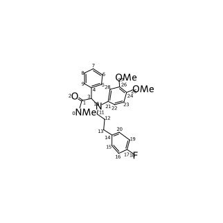 CNC(=O)C(c1ccccc1)N(CCCc1ccc(F)cc1)c1ccc(OC)c(OC)c1